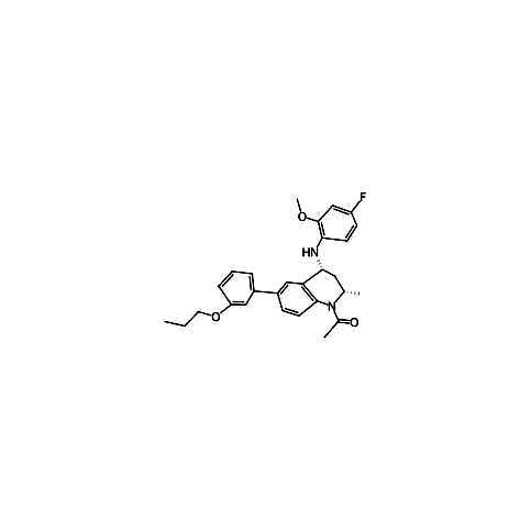 CCCOc1cccc(-c2ccc3c(c2)[C@H](Nc2ccc(F)cc2OC)C[C@H](C)N3C(C)=O)c1